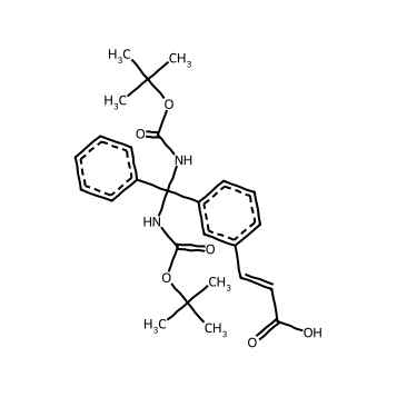 CC(C)(C)OC(=O)NC(NC(=O)OC(C)(C)C)(c1ccccc1)c1cccc(C=CC(=O)O)c1